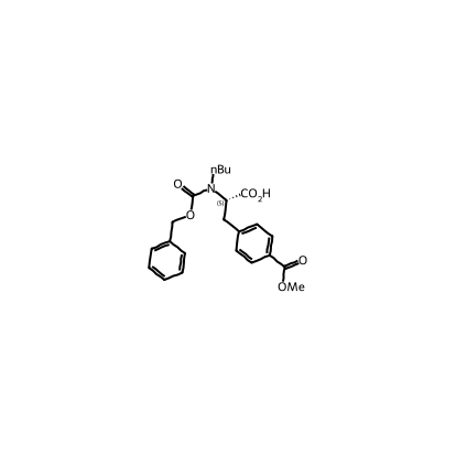 CCCCN(C(=O)OCc1ccccc1)[C@@H](Cc1ccc(C(=O)OC)cc1)C(=O)O